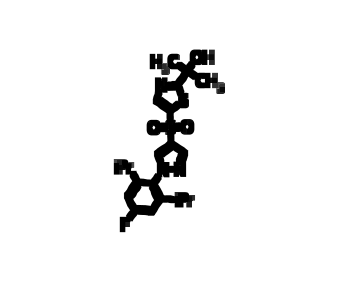 CC(C)c1cc(F)cc(C(C)C)c1-n1cc(S(=O)(=O)c2cnc(C(C)(C)O)s2)cn1